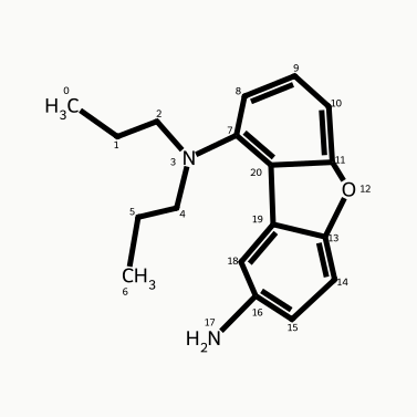 CCCN(CCC)c1cccc2oc3ccc(N)cc3c12